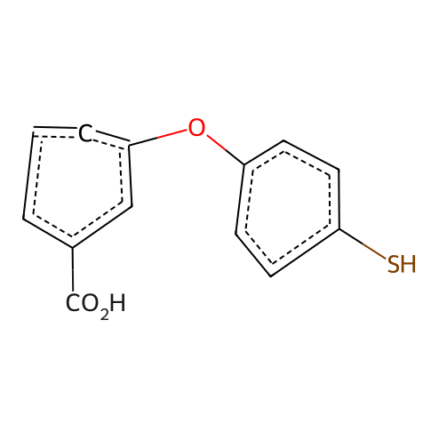 O=C(O)c1cccc(Oc2ccc(S)cc2)c1